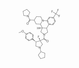 COc1ccc([C@@H]2CN(C3CCCC3)C[C@@]2(F)C(=O)N2CC3c4ccc(C(F)(F)F)cc4N4CCC(C(=O)N5CCCC5)CC4[C@H]3C2)cc1